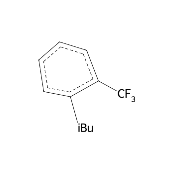 CCC(C)c1ccccc1C(F)(F)F